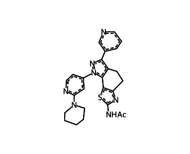 CC(=O)Nc1nc2c(s1)-c1c(c(-c3cccnc3)nn1-c1ccnc(N3CCCCC3)c1)CC2